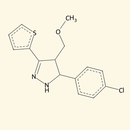 COCC1C(c2cccs2)=NNC1c1ccc(Cl)cc1